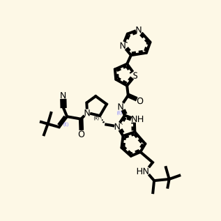 CC(NCc1ccc2c(c1)[nH]/c(=N\C(=O)c1ccc(-c3ccncn3)s1)n2C[C@H]1CCCN1C(=O)/C(C#N)=C/C(C)(C)C)C(C)(C)C